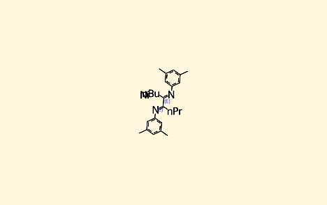 CCCCC(=N\c1cc(C)cc(C)c1)/C(CCC)=N/c1cc(C)cc(C)c1.[Ni]